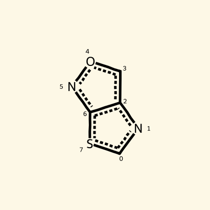 c1nc2conc2s1